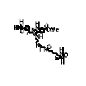 COC(=O)c1ccc2c(c1)[nH]c1nc(Cc3cccc(C4(C(F)(F)F)NN4)c3)nc(NCCCN(C)CCCNC(=O)CCCCC3SCC4NC(=O)NC43)c12